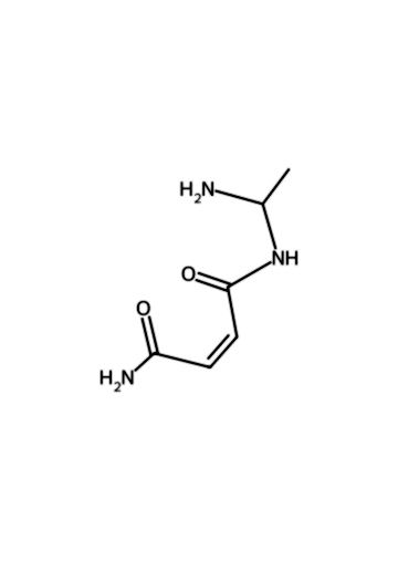 CC(N)NC(=O)/C=C\C(N)=O